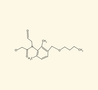 CCCCOCc1ccc(C)c(N(CC=O)C(=O)CCl)c1C